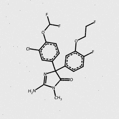 CN1C(=O)C(c2ccc(OC(F)F)c(Cl)c2)(c2ccc(F)c(OCCF)c2)N=C1N